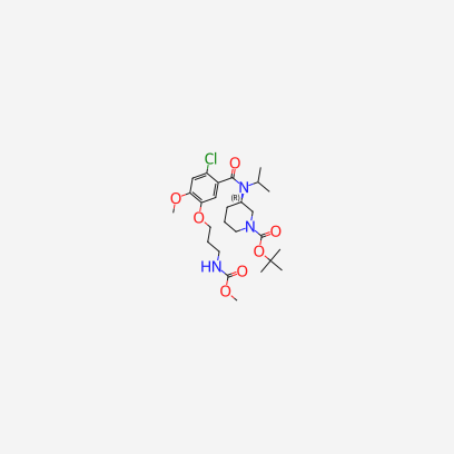 COC(=O)NCCCOc1cc(C(=O)N(C(C)C)[C@@H]2CCCN(C(=O)OC(C)(C)C)C2)c(Cl)cc1OC